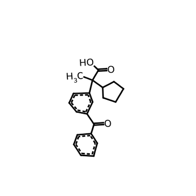 CC(C(=O)O)(c1cccc(C(=O)c2ccccc2)c1)C1CCCC1